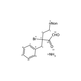 CCCCCCCCCCCC(Br)(Cc1ccccc1)C(=O)C=O.N